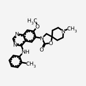 COc1cc2ncnc(Nc3ccccc3C)c2cc1N1CC2(CCN(C)CC2)OC1=O